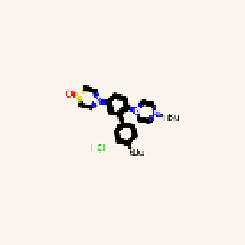 CCCCN1CCN(c2ccc(N3CC[S+]([O-])CC3)cc2C2CCC(C(C)(C)C)CC2)CC1.Cl